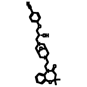 CC1(C)CC(=O)N(CCN2CC3CN(C[C@@H](O)COc4ccc(C#N)cc4)CC(C2)O3)c2ccccc2O1